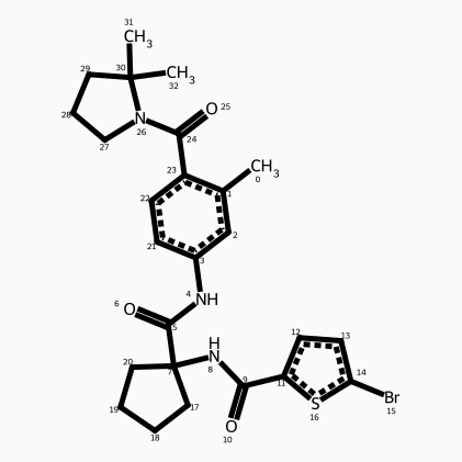 Cc1cc(NC(=O)C2(NC(=O)c3ccc(Br)s3)CCCC2)ccc1C(=O)N1CCCC1(C)C